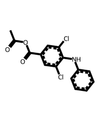 CC(=O)OC(=O)c1cc(Cl)c(Nc2ccccc2)c(Cl)c1